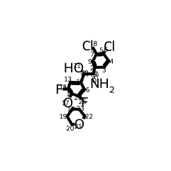 N[C@@H](c1ccc(Cl)c(Cl)c1)[C@H](O)c1cc(F)c(OC2CCOCC2)c(F)c1